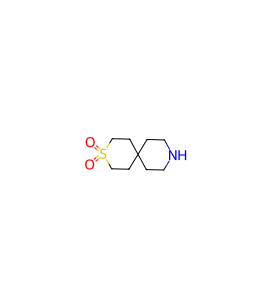 O=S1(=O)CCC2(CCNCC2)CC1